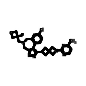 Cc1ccnc(N2CC3(CC(c4nnc5n4-c4ccc(Cl)cc4CN(CC4(F)COC4)C5)C3)C2)n1